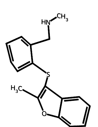 CNCc1ccccc1Sc1c(C)oc2ccccc12